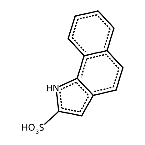 O=S(=O)(O)c1cc2ccc3ccccc3c2[nH]1